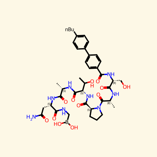 CCCCc1ccc(-c2ccc(C(=O)N[C@H](CO)C(=O)N[C@H](C)C(=O)N3CCC[C@H]3C(=O)N[C@H](C(=O)N[C@@H](C)C(=O)N[C@@H](CC(N)=O)C(=O)NCB(O)O)C(C)O)cc2)cc1